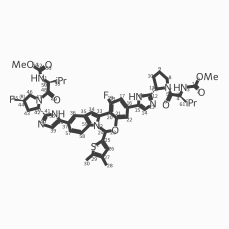 COC(=O)N[C@H](C(=O)N1CCC[C@H]1c1ncc(-c2cc(F)c3c(c2)OC(c2cc(C)c(C)s2)n2c-3cc3cc(-c4cnc([C@@H]5C[C@@H](F)CN5C(=O)[C@@H](NC(=O)OC)C(C)C)[nH]4)ccc32)[nH]1)C(C)C